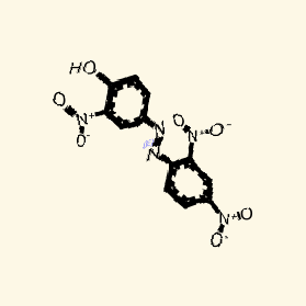 O=[N+]([O-])c1ccc(/N=N/c2ccc(O)c([N+](=O)[O-])c2)c([N+](=O)[O-])c1